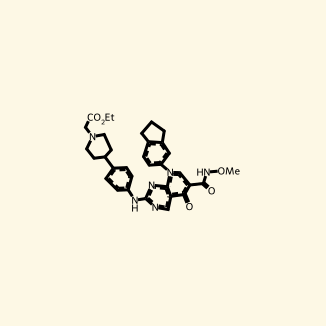 CCOC(=O)CN1CCC(c2ccc(Nc3ncc4c(=O)c(C(=O)NOC)cn(-c5ccc6c(c5)CCC6)c4n3)cc2)CC1